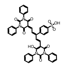 O=C1C(=CC=C(C=Cc2c(O)n(-c3ccccc3)c(=O)n(-c3ccccc3)c2=O)c2ccc(S(=O)(=O)O)cc2)C(=O)N(c2ccccc2)C(=O)N1c1ccccc1